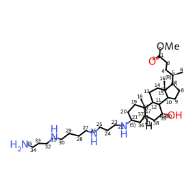 COC(=O)CC[C@@H](C)[C@H]1CCC2C3C(CC[C@@]21C)[C@@]1(C)CC[C@H](NCCCNCCCCNCCCN)C[C@H]1C[C@@H]3O